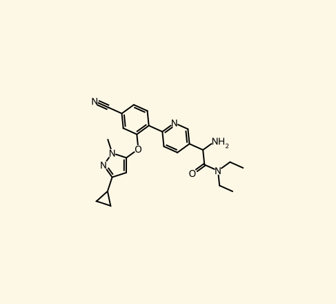 CCN(CC)C(=O)C(N)c1ccc(-c2ccc(C#N)cc2Oc2cc(C3CC3)nn2C)nc1